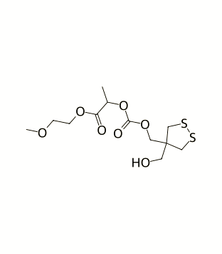 COCCOC(=O)C(C)OC(=O)OCC1(CO)CSSC1